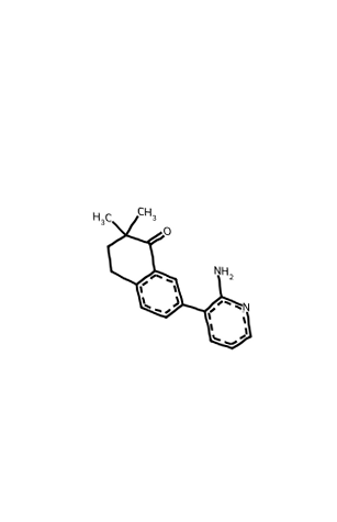 CC1(C)CCc2ccc(-c3cccnc3N)cc2C1=O